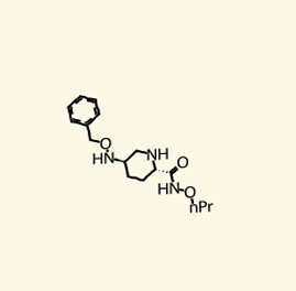 CCCONC(=O)[C@@H]1CC[C@@H](NOCc2ccccc2)CN1